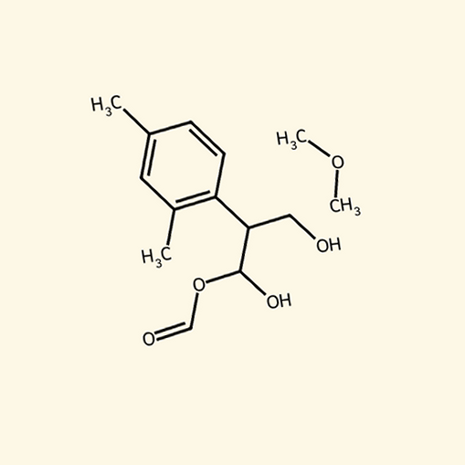 COC.Cc1ccc(C(CO)C(O)OC=O)c(C)c1